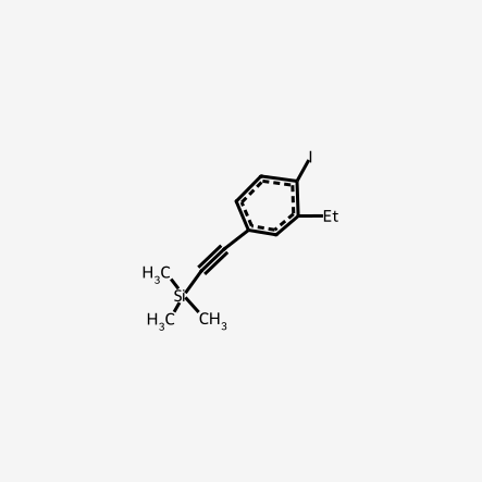 CCc1cc(C#C[Si](C)(C)C)ccc1I